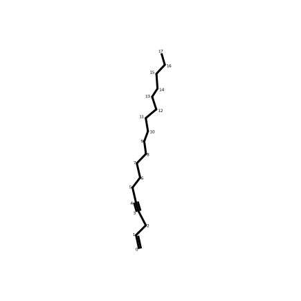 C=CCC#CCCCCCCCCCCCCC